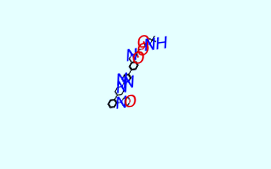 CN(Cc1cccc(-c2cnc(N3CCC(c4ccccc4N4CCOCC4)CC3)nc2)c1)C(=O)COC(=O)NC(C)(C)C